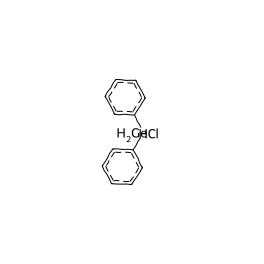 Cl.c1cc[c]([GeH2][c]2ccccc2)cc1